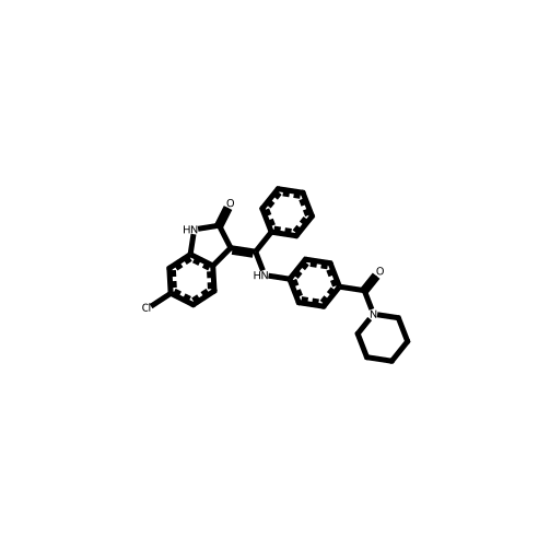 O=C1Nc2cc(Cl)ccc2C1=C(Nc1ccc(C(=O)N2CCCCC2)cc1)c1ccccc1